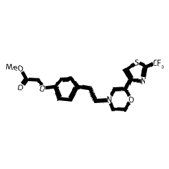 COC(=O)COc1ccc(CCN2CCOC(c3csc(C(F)(F)F)n3)C2)cc1